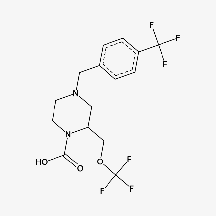 O=C(O)N1CCN(Cc2ccc(C(F)(F)F)cc2)CC1COC(F)(F)F